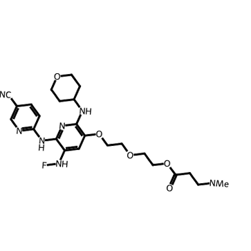 CNCCC(=O)OCCOCCOc1cc(NF)c(Nc2ccc(C#N)cn2)nc1NC1CCOCC1